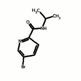 CC(C)NC(=O)c1ccc(Br)cn1